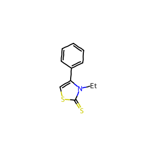 CCn1c(-c2ccccc2)csc1=S